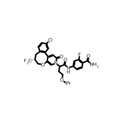 CC(C)OCCC(C(=O)Nc1ccc(C(N)=O)c(F)c1)n1cc2c(cc1=O)-c1cc(Cl)ccc1C[C@@H](C(F)(F)F)CO2